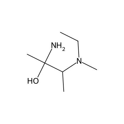 CCN(C)C(C)C(C)(N)O